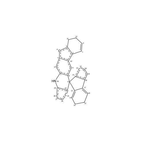 C1=Cc2c(oc3cc4c(cc23)C2(C3=CCCC=C3c3ccccc32)c2ccccc2N4)CC1